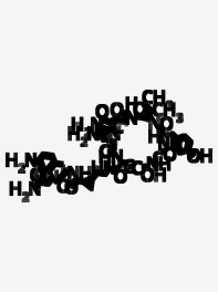 CCC(C)C1NC(=O)[C@H](Cc2ccc(O)cc2)NC(=O)CNC(O)CC[C@@H](C(=O)NCCC2CC2C(=O)N[C@@H](Cc2ccc(N)cc2)C(=O)NCC(N)=O)NC(=O)[C@H](CC(N)=O)NC[C@@](C=O)(CCC(N)=O)NC1=O